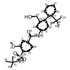 COc1cc(C(=O)Nc2ccc(-c3ccccc3C(F)(F)F)c(CO)c2)ccc1S(=O)(=O)NC(C)(C)C